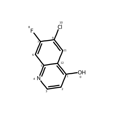 Oc1ccnc2cc(F)c(Cl)cc12